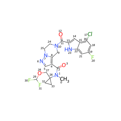 CN(C(=O)c1cnn2c1CN(C(=O)c1cc3c(Cl)cc(F)cc3[nH]1)CC2)C1(COC(F)F)CC1